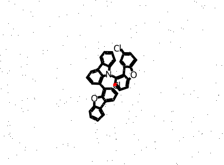 Clc1ccc2oc3cccc(-n4c5ccccc5c5cccc(-c6c(Cl)ccc7c6oc6ccccc67)c54)c3c2c1